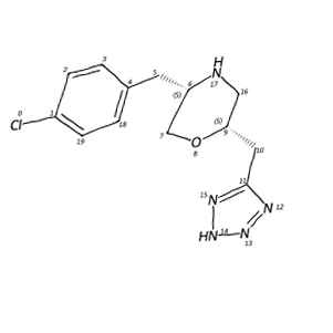 Clc1ccc(C[C@H]2CO[C@@H](Cc3nn[nH]n3)CN2)cc1